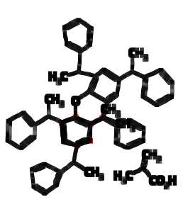 C=C(C)C(=O)O.CC(c1ccccc1)c1cc(C(C)c2ccccc2)c(Oc2c(C(C)c3ccccc3)cc(C(C)c3ccccc3)cc2C(C)c2ccccc2)c(C(C)c2ccccc2)c1